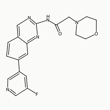 O=C(CN1CCOCC1)Nc1ncc2ccc(-c3cncc(F)c3)cc2n1